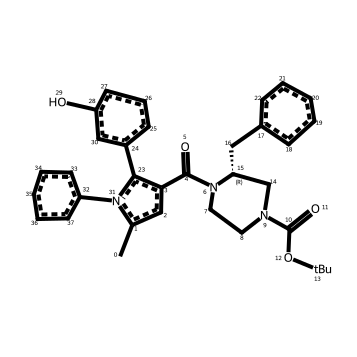 Cc1cc(C(=O)N2CCN(C(=O)OC(C)(C)C)C[C@H]2Cc2ccccc2)c(-c2cccc(O)c2)n1-c1ccccc1